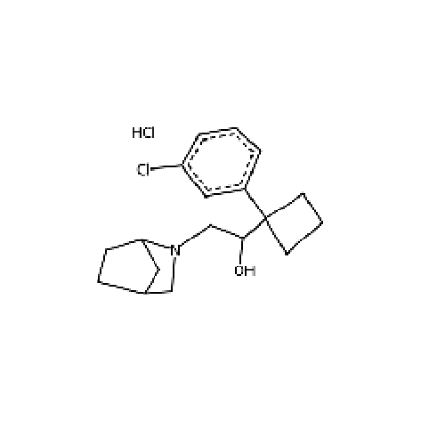 Cl.OC(CN1CC2CCC1C2)C1(c2cccc(Cl)c2)CCC1